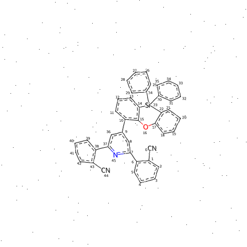 N#Cc1ccccc1-c1cc(-c2cccc3c2Oc2ccccc2[Si]3(c2ccccc2)c2ccccc2)cc(-c2ccccc2C#N)n1